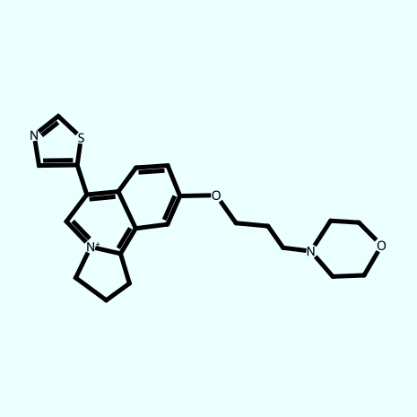 c1ncc(-c2c[n+]3c(c4cc(OCCCN5CCOCC5)ccc24)CCC3)s1